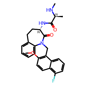 CN[C@@H](C)C(=O)N[C@H]1CCc2ccccc2N(Cc2c(OC)ccc3c(F)cccc23)C1=O